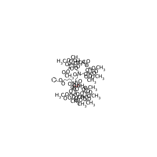 CC(=O)OC[C@H]1O[C@H](OCCN(CCO[C@H]2O[C@H](COC(C)=O)[C@@H](OC(C)=O)[C@H](OC(C)=O)[C@@H]2OC(C)=O)C(=O)CC[C@H](NC(=O)CCCCC(=O)OCc2ccccc2)C(=O)N(CCO[C@H]2O[C@H](COC(C)=O)[C@@H](OC(C)=O)[C@H](OC(C)=O)[C@@H]2OC(C)=O)CCO[C@H]2O[C@H](COC(C)=O)[C@@H](OC(C)=O)[C@H](OC(C)=O)[C@@H]2OC(C)=O)[C@@H](OC(C)=O)[C@@H](OC(C)=O)[C@@H]1OC(C)=O